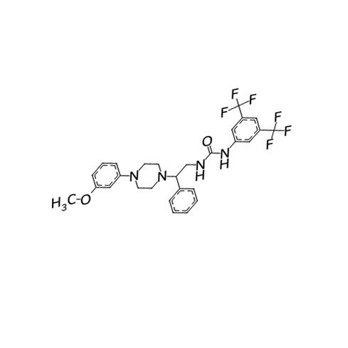 COc1cccc(N2CCN(C(CNC(=O)Nc3cc(C(F)(F)F)cc(C(F)(F)F)c3)c3ccccc3)CC2)c1